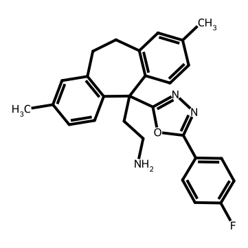 Cc1ccc2c(c1)CCc1cc(C)ccc1C2(CCN)c1nnc(-c2ccc(F)cc2)o1